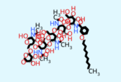 CCCCCCCCCCCOc1cccc(C(=O)N[C@@H]2C(O[C@H]3C(O)C(NC(C)=O)[C@H](OC4C(CO)O[C@@H](O[C@H]5C(O)C(NC(C)=O)C(OC6C(CO[C@@H]7OC8OC8[C@H](O)[C@H]7O)OC(O)[C@@H](NC(C)=O)[C@@H]6O)O[C@H]5CO)[C@@H](NC(C)=O)[C@@H]4O)O[C@H]3CO)OC(CO)[C@@H](O)[C@@H]2O)c1